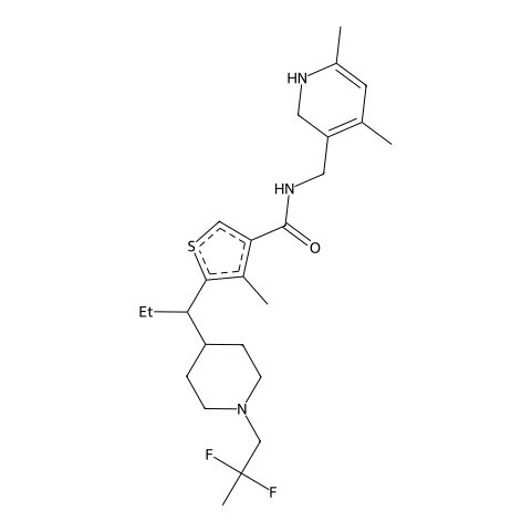 CCC(c1scc(C(=O)NCC2=C(C)C=C(C)NC2)c1C)C1CCN(CC(C)(F)F)CC1